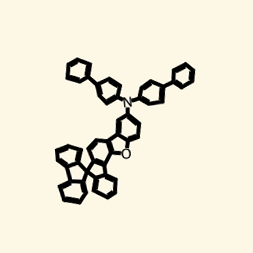 c1ccc(-c2ccc(N(c3ccc(-c4ccccc4)cc3)c3ccc4oc5c6c(ccc5c4c3)C3(c4ccccc4-c4ccccc43)c3ccccc3-6)cc2)cc1